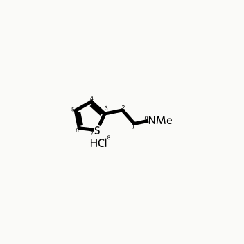 CNCCc1cccs1.Cl